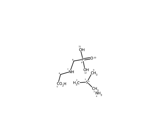 C[S+](C)C.N.O=C(O)CNCP(=O)(O)O